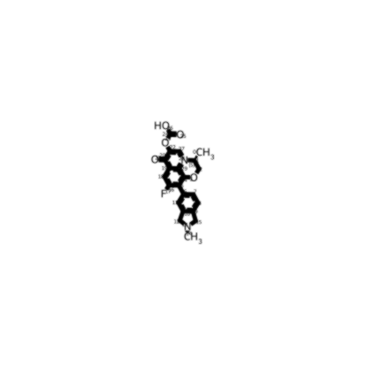 C[C@H]1COc2c(-c3ccc4c(c3)CN(C)C4)c(F)cc3c(=O)c(OC(=O)O)cn1c23